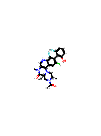 CCC(=O)N1C[C@@H]2C(=O)N(C)c3cnc4c(F)c(-c5c(O)cccc5F)c(Cl)cc4c3N2C[C@H]1C